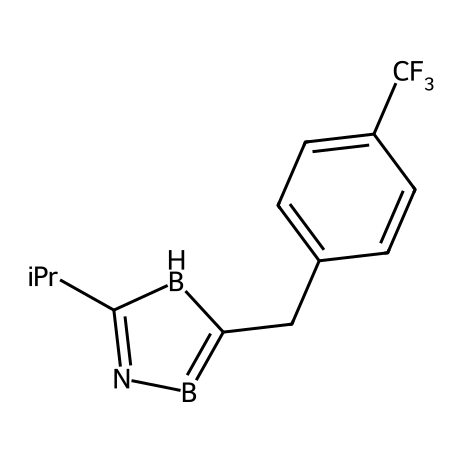 CC(C)C1=NB=C(Cc2ccc(C(F)(F)F)cc2)B1